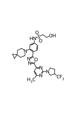 Cc1cc(-c2nnc(-c3ccc(NS(=O)(=O)CCO)cc3N3CCC4(CC3)CC4)o2)nc(N2CCC(C(F)(F)F)C2)n1